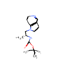 C[C@H](Cn1ccc2cnccc21)NC(=O)OC(C)(C)C